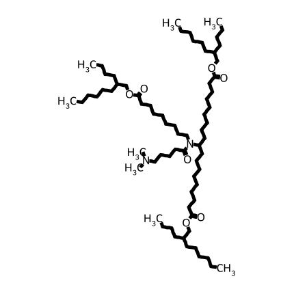 CCCCCCC(CCCC)COC(=O)CCCCCCCCC(CCCCCCCCC(=O)OCC(CCCC)CCCCCC)N(CCCCCCCCC(=O)OCC(CCCC)CCCCCC)C(=O)CCCCN(C)C